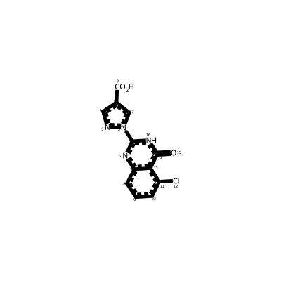 O=C(O)c1cnn(-c2nc3cccc(Cl)c3c(=O)[nH]2)c1